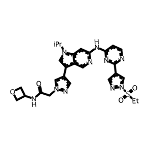 CCS(=O)(=O)n1cc(-c2nccc(Nc3cc4c(cn3)c(-c3cnn(CC(=O)NC5COC5)c3)cn4C(C)C)n2)cn1